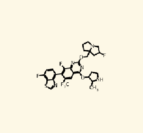 CC1NCCC1Oc1nc(OCC23CCCN2CC(F)C3)nc2c(F)c(-c3ccc(F)c4scnc34)c(C(F)(F)F)cc12